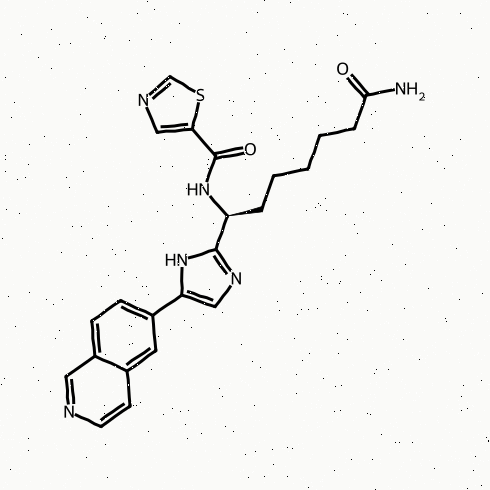 NC(=O)CCCCC[C@H](NC(=O)c1cncs1)c1ncc(-c2ccc3cnccc3c2)[nH]1